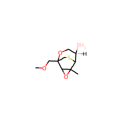 B[C@@H]1COC2(COC)CSC1C1(C)OC21